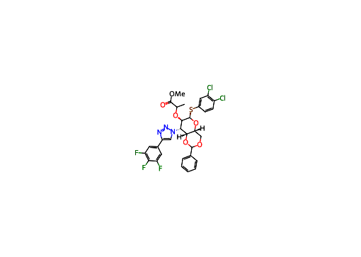 COC(=O)C(C)O[C@@H]1[C@@H](n2cc(-c3cc(F)c(F)c(F)c3)nn2)[C@H]2OC(c3ccccc3)OC[C@H]2O[C@@H]1Sc1ccc(Cl)c(Cl)c1